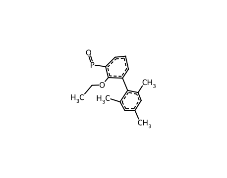 CCOc1c(P=O)cccc1-c1c(C)cc(C)cc1C